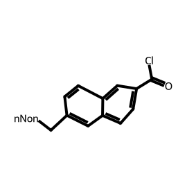 CCCCCCCCCCc1ccc2cc(C(=O)Cl)ccc2c1